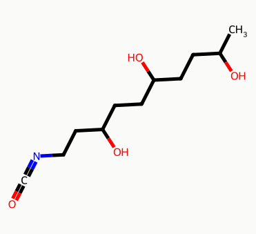 CC(O)CCC(O)CCC(O)CCN=C=O